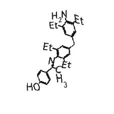 CCc1cc(Cc2cc(CC)c(/N=C(\C)c3ccc(O)cc3)c(CC)c2)cc(CC)c1N